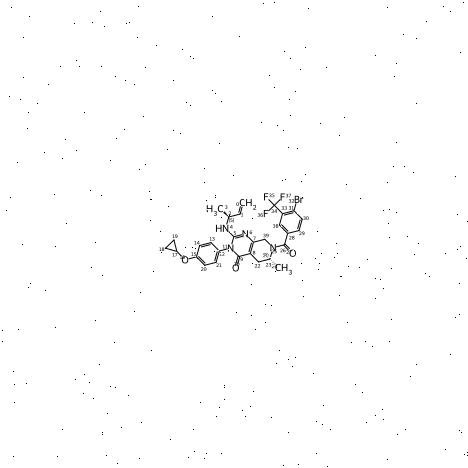 C=C[C@H](C)Nc1nc2c(c(=O)n1-c1ccc(OC3CC3)cc1)C[C@@H](C)N(C(=O)c1ccc(Br)c(C(F)(F)F)c1)C2